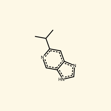 CC(C)c1cc2nc[nH]c2cn1